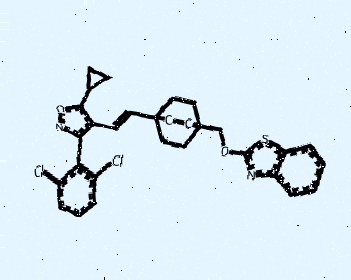 Clc1cccc(Cl)c1-c1noc(C2CC2)c1C=CC12CCC(COc3nc4ccccc4s3)(CC1)CC2